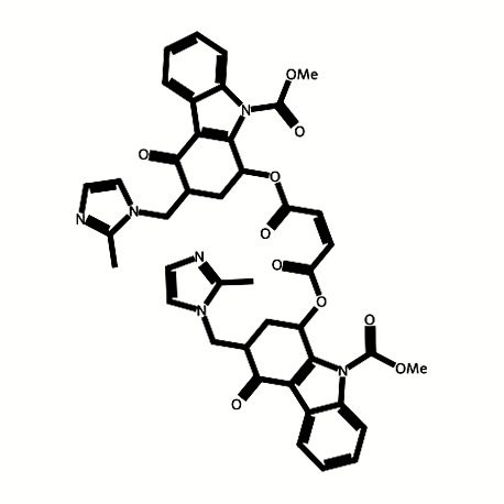 COC(=O)n1c2c(c3ccccc31)C(=O)C(Cn1ccnc1C)CC2OC(=O)/C=C\C(=O)OC1CC(Cn2ccnc2C)C(=O)c2c1n(C(=O)OC)c1ccccc21